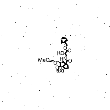 COCCOC[C@@H](CC1(C(=O)NC[C@H](O)C(=O)OCc2ccccc2)CCCC1)C(=O)OC(C)(C)C